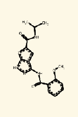 COc1ccccc1C(=O)Nc1n[nH]c2sc(C(=O)NC(C)C)cc12